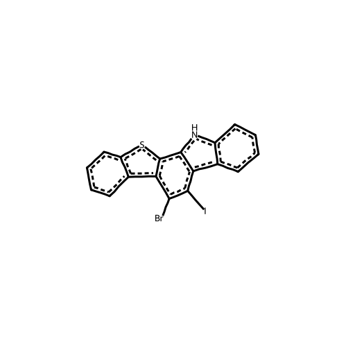 Brc1c(I)c2c3ccccc3[nH]c2c2sc3ccccc3c12